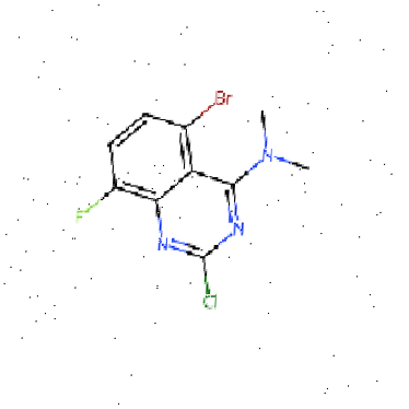 CN(C)c1nc(Cl)nc2c(F)ccc(Br)c12